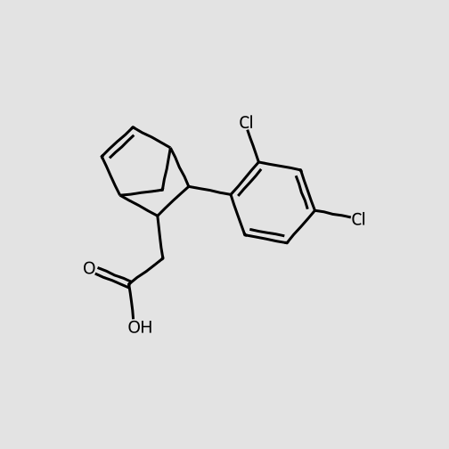 O=C(O)CC1C2C=CC(C2)C1c1ccc(Cl)cc1Cl